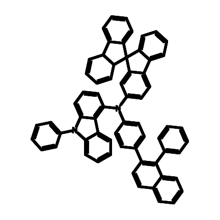 C1=CC2c3ccccc3C3(c4ccccc4-c4ccc(N(c5ccc(-c6ccc7ccccc7c6-c6ccccc6)cc5)c5cccc6c5c5ccccc5n6-c5ccccc5)cc43)C2C=C1